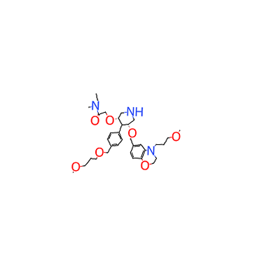 CCN(C)C(=O)CO[C@@H]1CNC[C@H](OCc2ccc3c(c2)N(CCCOC)CCO3)C1c1ccc(COCCCOC)cc1